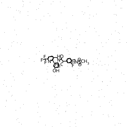 CC(C(=O)NCc1ccc(C(F)(F)F)nc1-c1cccc(O)c1)c1ccc(CNS(C)(=O)=O)c(F)c1